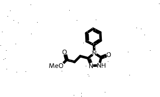 COC(=O)CCc1n[nH]c(=O)n1-c1ccccc1